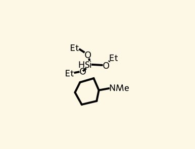 CCO[SiH](OCC)OCC.CNC1CCCCC1